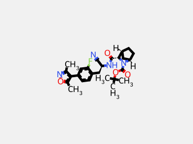 Cc1noc(C)c1-c1ccc(C[C@@H](C#N)NC(=O)[C@@H]2[C@H]3CC[C@H](C3)N2C(=O)OC(C)(C)C)c(F)c1